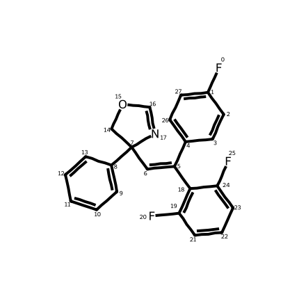 Fc1ccc(C(=CC2(c3ccccc3)COC=N2)c2c(F)cccc2F)cc1